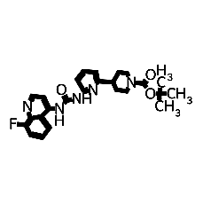 CC(C)(C)OC(=O)N1CCC(c2cccc(NC(=O)Nc3ccnc4c(F)cccc34)n2)CC1